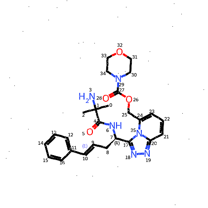 CC(C)(N)C(=O)N[C@H](C/C=C/c1ccccc1)c1nnc2cccc(COC(=O)N3CCOCC3)n12